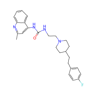 Cc1cc(NC(=O)NCCN2CCC(CCc3ccc(F)cc3)CC2)c2ccccc2n1